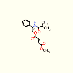 COC(=O)C=CC(=O)OC[C@@H](NC(=O)C(C)C)c1ccccc1